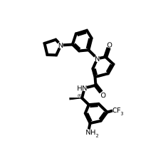 C[C@@H](NC(=O)c1ccc(=O)n(-c2cccc(N3CCCC3)c2)c1)c1cc(N)cc(C(F)(F)F)c1